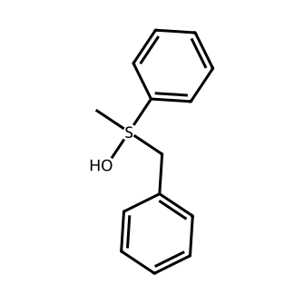 CS(O)(Cc1ccccc1)c1ccccc1